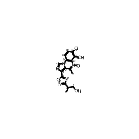 Cc1c2c(-c3nc(C(C)CO)no3)ncn2c2ccc(Cl)c(C#N)c2[n+]1[O-]